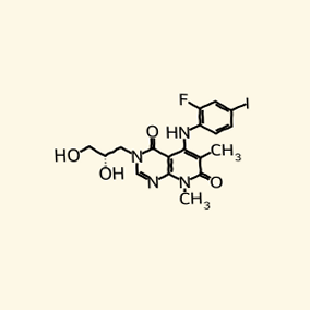 Cc1c(Nc2ccc(I)cc2F)c2c(=O)n(C[C@H](O)CO)cnc2n(C)c1=O